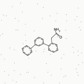 NC(=O)Cc1ccccc1-c1cccc(-c2ccccc2)c1